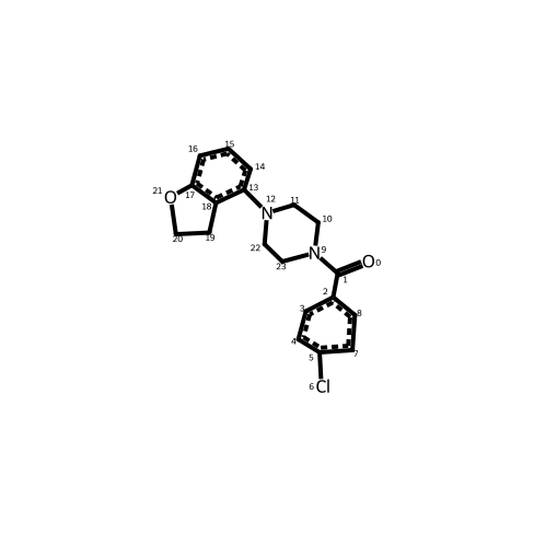 O=C(c1ccc(Cl)cc1)N1CCN(c2cccc3c2CCO3)CC1